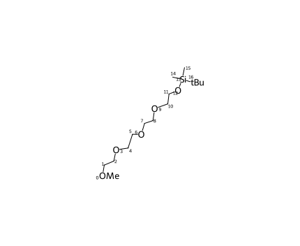 COCCOCCOCCOCCO[Si](C)(C)C(C)(C)C